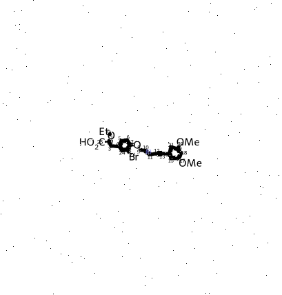 CCO[C@@H](Cc1ccc(OC/C=C/C#Cc2cc(OC)cc(OC)c2)c(Br)c1)C(=O)O